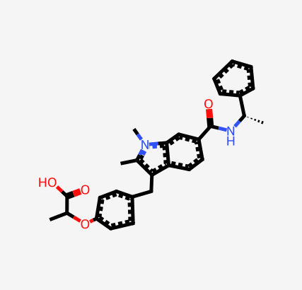 Cc1c(Cc2ccc(OC(C)C(=O)O)cc2)c2ccc(C(=O)N[C@@H](C)c3ccccc3)cc2n1C